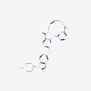 CN1CCC(n2ccc3cc(Nc4ncc5c(=O)n6n(c5n4)-c4cccc(n4)C(C)(O)CC/C=C(/F)C6)ccc32)CC1